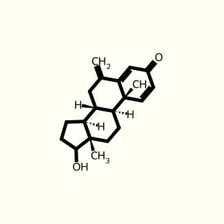 C=C1C[C@@H]2[C@H](CC[C@]3(C)C(O)CC[C@@H]23)[C@@]2(C)C=CC(=O)C=C12